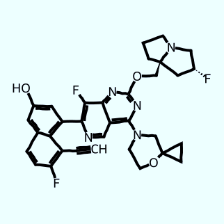 C#Cc1c(F)ccc2cc(O)cc(-c3ncc4c(N5CCOC6(CC6)C5)nc(OC[C@@]56CCCN5C[C@H](F)C6)nc4c3F)c12